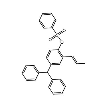 CC=Cc1cc(C(c2ccccc2)c2ccccc2)ccc1OS(=O)(=O)c1ccccc1